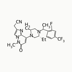 CC[C@@H]1CN(c2cc(=O)n(C)n3cc(CC#N)nc23)[C@@H](C)CN1C(C)c1ccc(C(F)(F)F)cc1F